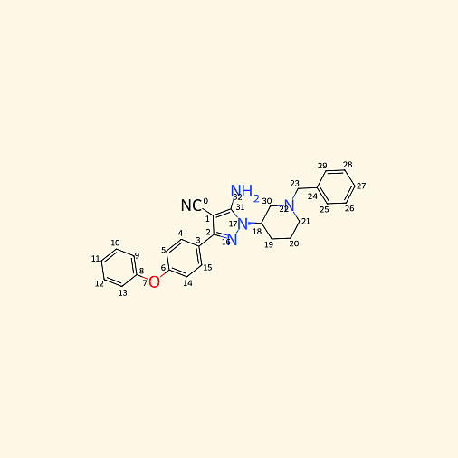 N#Cc1c(-c2ccc(Oc3ccccc3)cc2)nn([C@@H]2CCCN(Cc3ccccc3)C2)c1N